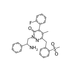 Cc1c(Cc2ccccc2S(C)(=O)=O)nn(CC(N)c2ccccc2)c(=O)c1-c1ccccc1F